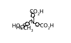 CS(=O)(=O)O.Cl.O=C(O)c1ccc(CN(Cc2ccccc2)Cc2ccc(C(=O)O)cc2)cc1